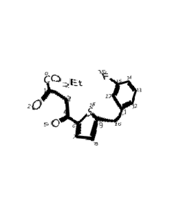 CCOC(=O)C(=O)CC(=O)c1ccc(Cc2cccc(F)c2)s1